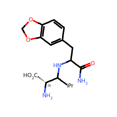 CC(C)C(NC(Cc1ccc2c(c1)OCO2)C(N)=O)[C@H](N)C(=O)O